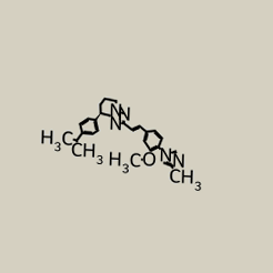 COc1cc(/C=C/c2nc3n(n2)CCC[C@@H]3c2ccc(C(C)C)cc2)ccc1-n1cnc(C)c1